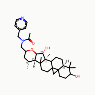 CC(=O)N(Cc1ccncc1)CC1C[C@@H](C)[C@H]2C(O1)[C@H](O)[C@@]1(C)C3CC[C@H]4C(C)(C)C(O)CCC45CC35CCC21C